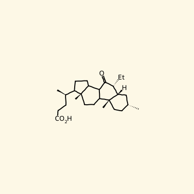 CC[C@H]1C(=O)C2C3CCC([C@H](C)CCC(=O)O)[C@@]3(C)CCC2[C@@]2(C)CC[C@@H](C)C[C@@H]12